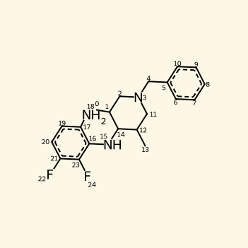 CC1CN(Cc2ccccc2)CC(C)C1Nc1c(N)ccc(F)c1F